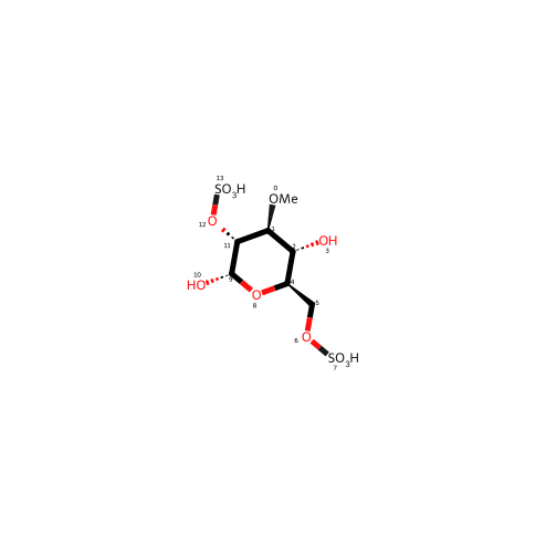 CO[C@H]1[C@H](O)[C@@H](COS(=O)(=O)O)O[C@H](O)[C@@H]1OS(=O)(=O)O